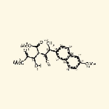 COC(=O)C(O)C(C(=O)OC)C(=O)C(C)c1ccc2cc(OC)ccc2c1